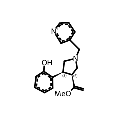 C=C(OC)[C@@H]1CN(Cc2cccnc2)C[C@@H]1c1ccccc1O